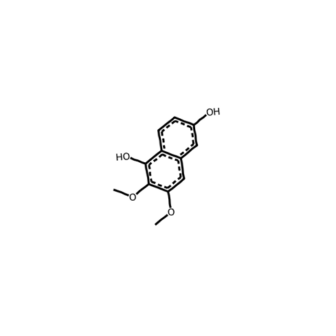 COc1cc2cc(O)ccc2c(O)c1OC